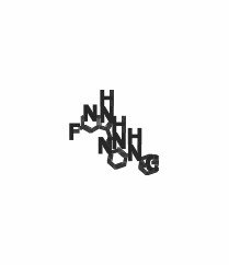 Fc1cnc2[nH]cc(-c3nc4cccc(NC5CC6CCC5CC6)c4[nH]3)c2c1